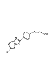 CCCCCCCCCCCCOc1ccc(-c2nc3ccc(Br)cc3s2)cc1